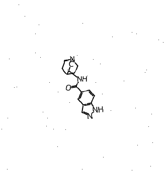 O=C(NC1CN2CCC1CC2)c1ccc2[nH]ncc2c1